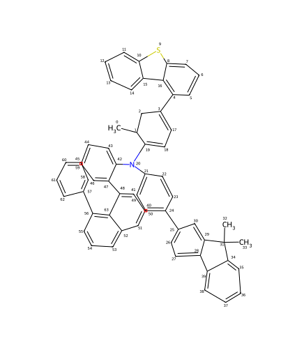 CC1CC(c2cccc3sc4ccccc4c23)=CC=C1N(c1ccc(-c2ccc3c(c2)C(C)(C)c2ccccc2-3)cc1)c1ccccc1-c1cccc2cccc(-c3ccccc3)c12